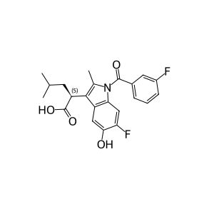 Cc1c([C@H](CC(C)C)C(=O)O)c2cc(O)c(F)cc2n1C(=O)c1cccc(F)c1